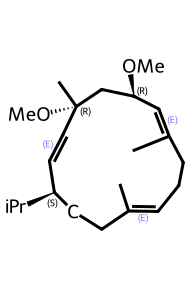 CO[C@H]1/C=C(\C)CC/C=C(\C)CC[C@@H](C(C)C)/C=C/[C@](C)(OC)C1